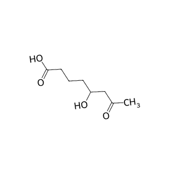 CC(=O)CC(O)CCCC(=O)O